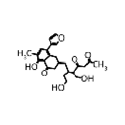 CC(=O)CC(=O)C(CO)C(CCO)CC1CC(=O)c2c(O)c(C)cc(-c3ccoc3)c2C1